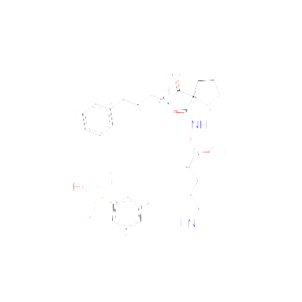 NCCCCB(O)ONC(=O)C1(C(=O)NCCCc2ccccc2)CCCC1.O=S(=O)(O)c1ccccc1